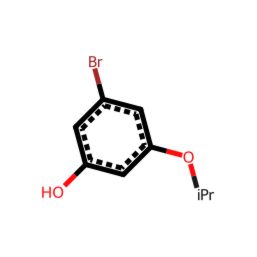 CC(C)Oc1cc(O)cc(Br)c1